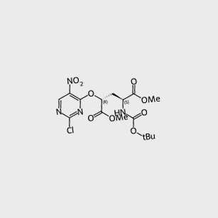 COC(=O)[C@H](C[C@@H](Oc1nc(Cl)ncc1[N+](=O)[O-])C(=O)OC)NC(=O)OC(C)(C)C